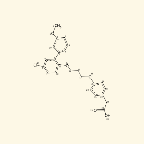 COc1cccc(-c2cc(Cl)ccc2OCCCOc2ccc(CC(=O)O)cc2)c1